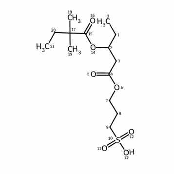 CCC(CC(=O)OCCCS(=O)(=O)O)OC(=O)C(C)(C)CC